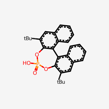 CC(C)(C)c1cc2ccccc2c2c1OP(=O)(O)Oc1c(C(C)(C)C)cc3ccccc3c1-2